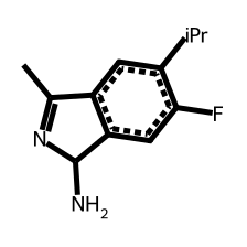 CC1=NC(N)c2cc(F)c(C(C)C)cc21